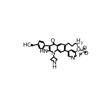 C#Cc1ccc2c(c1)[nH]c1c2c(=O)c2cc(CCCC)c(-c3cncc(OS(=O)(=O)F)c3)cc2n1C1CNC1